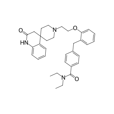 CCN(CC)C(=O)c1ccc(Cc2ccccc2OCCN2CCC3(CC2)CC(=O)Nc2ccccc23)cc1